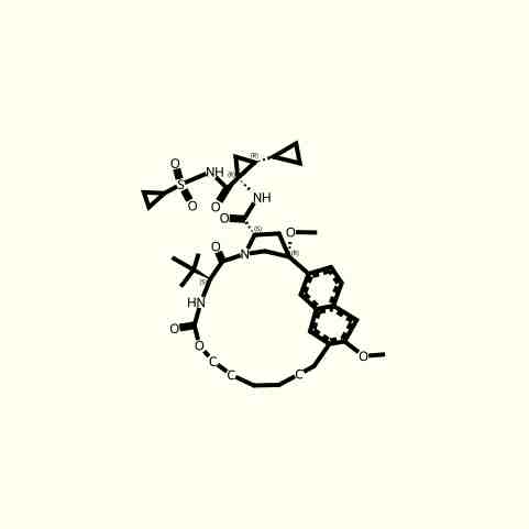 COc1cc2ccc3cc2cc1CCCCCCOC(=O)N[C@@H](C(C)(C)C)C(=O)N1C[C@@]3(OC)C[C@H]1C(=O)N[C@]1(C(=O)NS(=O)(=O)C2CC2)C[C@@H]1C1CC1